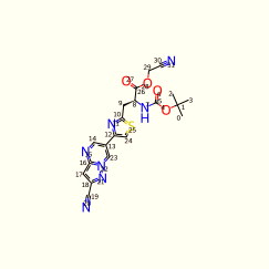 CC(C)(C)OC(=O)N[C@@H](Cc1nc(-c2cnc3cc(C#N)nn3c2)cs1)C(=O)OCC#N